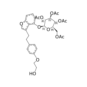 CC(=O)OC[C@H]1O[C@@H](Oc2cccc3occ(CCc4ccc(OCCO)cc4)c23)[C@H](OC(C)=O)[C@@H](OC(C)=O)[C@@H]1OC(C)=O